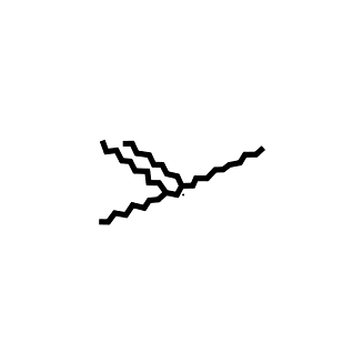 CCCCCCCCCCC([CH]C(CCCCCCCC)CCCCCCCCC)CCCCCCCC